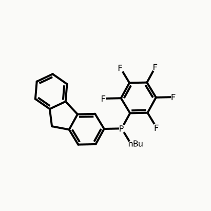 CCCCP(c1ccc2c(c1)-c1ccccc1C2)c1c(F)c(F)c(F)c(F)c1F